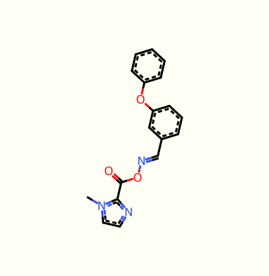 Cn1ccnc1C(=O)ON=Cc1cccc(Oc2ccccc2)c1